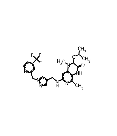 Cc1nc(NCc2cnn(Cc3cc(C(F)(F)F)ccn3)c2)cc2c1NC(=O)C(OC(C)C)N2C